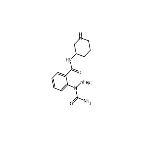 CCCCCCCN(C(N)=O)c1ccccc1C(=O)NC1CCCNC1